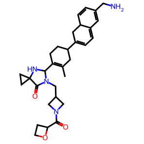 CC1=C(C2NC3(CC3)C(=O)N2CC2CN(C(=O)C3CCO3)C2)CCC(C2=CC=C3C=C(CN)C=CC3C2)C1